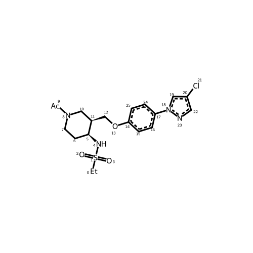 CCS(=O)(=O)N[C@H]1CCN(C(C)=O)C[C@H]1COc1ccc(-n2cc(Cl)cn2)cc1